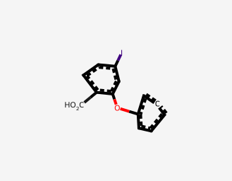 O=C(O)c1ccc(I)cc1Oc1ccccc1